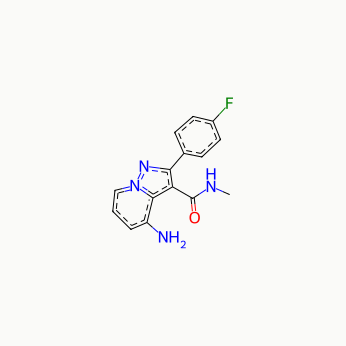 CNC(=O)c1c(-c2ccc(F)cc2)nn2cccc(N)c12